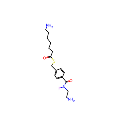 NCCCCCCC(=O)SCc1ccc(C(=O)N(I)CCN)cc1